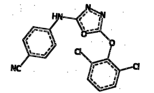 N#Cc1ccc(Nc2nnc(Oc3c(Cl)cccc3Cl)o2)cc1